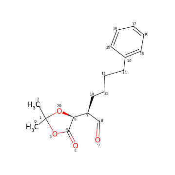 CC1(C)OC(=O)[C@H]([C@H]([C]=O)CCCCc2ccccc2)O1